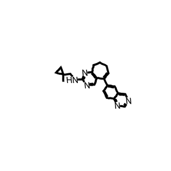 CC1(CNc2ncc3c(n2)CCCC=C3c2ccc3ncncc3c2)CC1